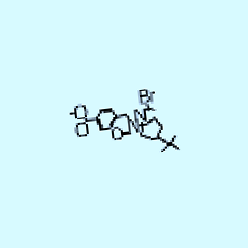 COC(=O)c1ccc(CN(C=O)C2(/N=C(\C)Br)CCC(C(C)(C)C)CC2)cc1